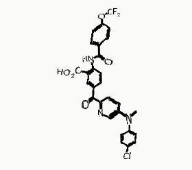 CN(c1ccc(Cl)cc1)c1ccc(C(=O)c2ccc(NC(=O)c3ccc(OC(F)(F)F)cc3)c(C(=O)O)c2)nc1